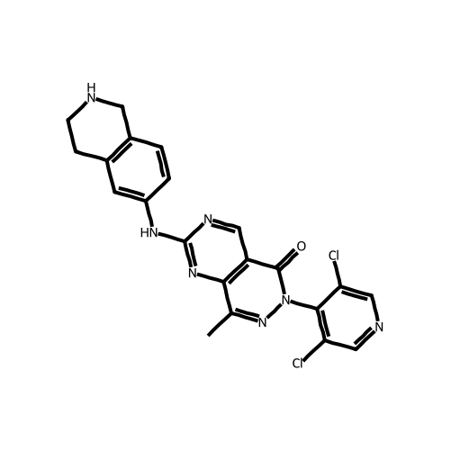 Cc1nn(-c2c(Cl)cncc2Cl)c(=O)c2cnc(Nc3ccc4c(c3)CCNC4)nc12